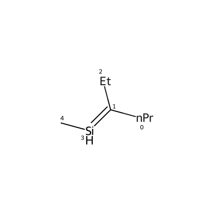 CCCC(CC)=[SiH]C